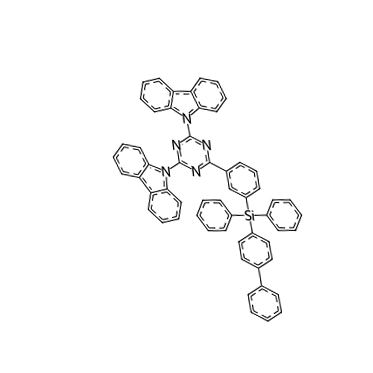 c1ccc(-c2ccc([Si](c3ccccc3)(c3ccccc3)c3cccc(-c4nc(-n5c6ccccc6c6ccccc65)nc(-n5c6ccccc6c6ccccc65)n4)c3)cc2)cc1